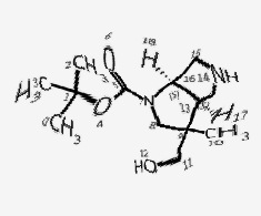 CC(C)(C)OC(=O)N1CC(C)(CO)[C@@H]2NC[C@@H]21